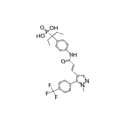 CCC(CC)(c1ccc(NC(=O)/C=C/c2cnn(C)c2-c2ccc(C(F)(F)F)cc2)cc1)P(=O)(O)O